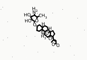 CC1OC(O[C@H]2CCC3(C)C4CCC5(C)C(C6=CC(=O)OC6)CCC5(O)[C@@H]4CC[C@H]3C2)[C@@H](O)[C@@H](O)C1N